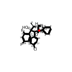 C[C@@H](NC(=O)c1ccccc1)[C@](O)(c1ccc(F)cc1F)C(c1ccc(Cl)cc1)n1cncn1